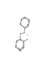 Cc1cnccc1C[C@@H](C)c1ccccc1